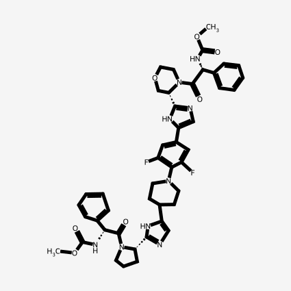 COC(=O)N[C@@H](C(=O)N1CCOC[C@H]1c1ncc(-c2cc(F)c(N3CCC(c4cnc([C@@H]5CCCN5C(=O)[C@H](NC(=O)OC)c5ccccc5)[nH]4)CC3)c(F)c2)[nH]1)c1ccccc1